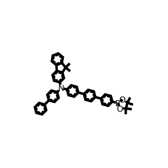 CC1(C)c2ccccc2-c2ccc(N(c3ccc(-c4ccccc4)cc3)c3ccc(-c4ccc(-c5ccc(B6OC(C)(C)C(C)(C)O6)cc5)cc4)cc3)cc21